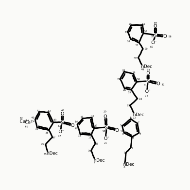 CCCCCCCCCCCCc1ccccc1.CCCCCCCCCCCCc1ccccc1S(=O)(=O)[O-].CCCCCCCCCCCCc1ccccc1S(=O)(=O)[O-].CCCCCCCCCCCCc1ccccc1S(=O)(=O)[O-].CCCCCCCCCCCCc1ccccc1S(=O)(=O)[O-].[Ca+2].[Ca+2]